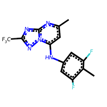 Cc1cc(Nc2cc(F)c(C)c(F)c2)n2nc(C(F)(F)F)nc2n1